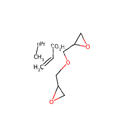 C(OCC1CO1)C1CO1.C=CC(=O)O.CCCC